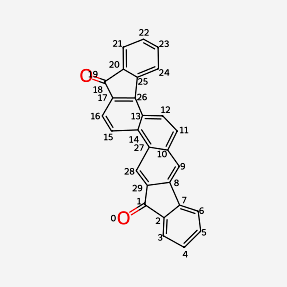 O=c1c2ccccc2c2cc3ccc4c(ccc5c(=O)c6ccccc6c54)c3cc12